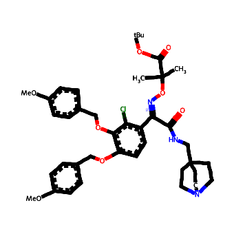 COc1ccc(COc2ccc(/C(=N/OC(C)(C)C(=O)OC(C)(C)C)C(=O)NCC34CCN(CC3)CC4)c(Cl)c2OCc2ccc(OC)cc2)cc1